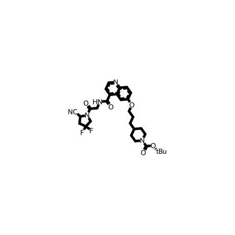 CC(C)(C)OC(=O)N1CCC(CCCOc2ccc3nccc(C(=O)NCC(=O)N4CC(F)(F)CC4C#N)c3c2)CC1